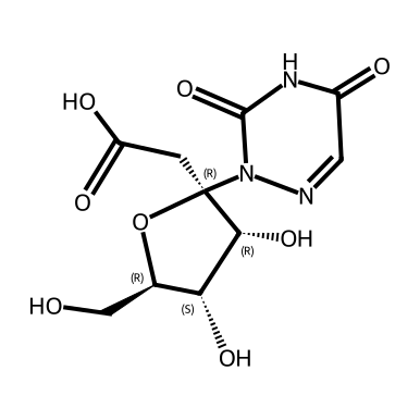 O=C(O)C[C@@]1(n2ncc(=O)[nH]c2=O)O[C@H](CO)[C@@H](O)[C@H]1O